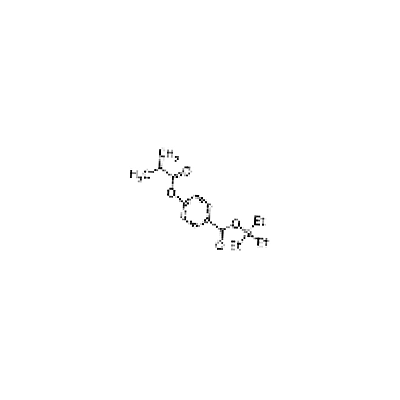 C=C(C)C(=O)Oc1ccc(C(=O)O[Si](CC)(CC)CC)cc1